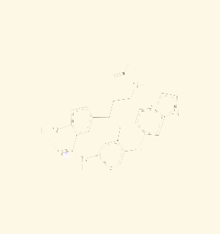 C/N=C(/Nc1ccc(Oc2ccn3ccnc3c2)c(C)c1)c1cc(CCCNC(C)=O)ccc1N